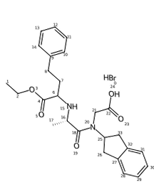 Br.CCOC(=O)C(CCc1ccccc1)N[C@@H](C)C(=O)N(CC(=O)O)C1Cc2ccccc2C1